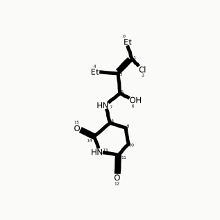 CC/C(Cl)=C(\CC)C(O)NC1CCC(=O)NC1=O